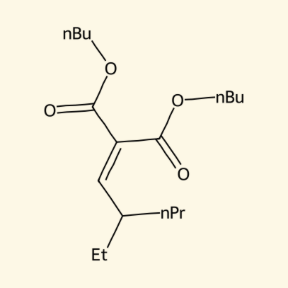 CCCCOC(=O)C(=CC(CC)CCC)C(=O)OCCCC